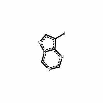 Ic1cnn2cncnc12